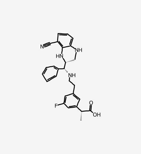 C[C@@H](C(=O)O)c1cc(F)cc(CCN[C@H](c2ccccc2)[C@H]2CNc3cccc(C#N)c3N2)c1